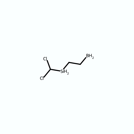 BCC[SiH2]C(Cl)Cl